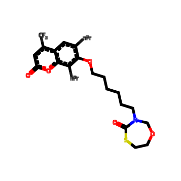 CCCc1cc2c(C(F)(F)F)cc(=O)oc2c(CCC)c1OCCCCCCN1COCCSC1=O